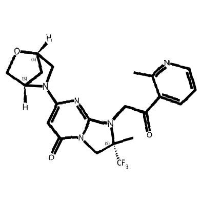 Cc1ncccc1C(=O)CN1c2nc(N3C[C@@H]4C[C@H]3CO4)cc(=O)n2C[C@@]1(C)C(F)(F)F